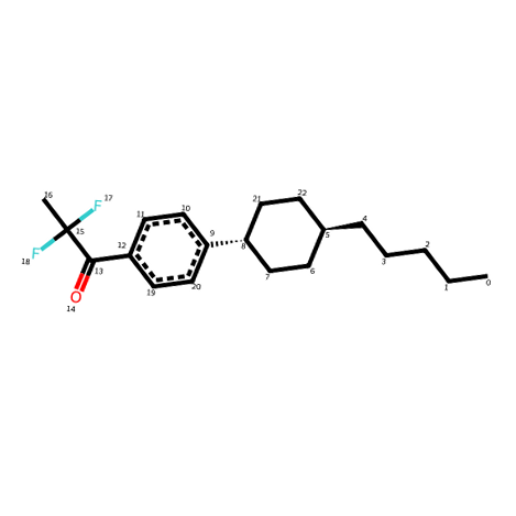 CCCCC[C@H]1CC[C@H](c2ccc(C(=O)C(C)(F)F)cc2)CC1